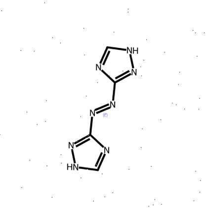 c1nc(/N=N/c2nc[nH]n2)n[nH]1